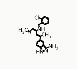 C=N/C=C(\C=C(/C)c1ccc2[nH]nc(N)c2c1)NCc1ccccc1Cl